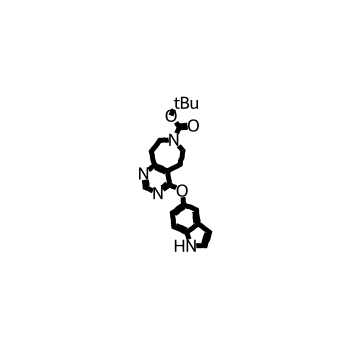 CC(C)(C)OC(=O)N1CCc2ncnc(Oc3ccc4[nH]ccc4c3)c2CC1